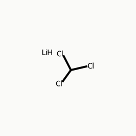 Cl[C](Cl)Cl.[LiH]